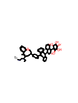 C=C/C(=C\C=C/CC)c1cc(-c2cccc(-c3c4ccccc4c(-c4ccc(-c5c(O)c(O)c(O)c(O)c5O)c5ccccc45)c4ccccc34)c2)ccoc2ccccc2c1C